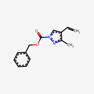 C=Cc1cn(C(=O)OCc2ccccc2)nc1C